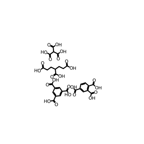 O=C(O)C(C(=O)O)C(=O)O.O=C(O)CCC(CCC(=O)O)C(=O)O.O=C(O)c1cc(C(=O)O)cc(C(=O)O)c1.O=C(O)c1ccc(C(=O)O)c(C(=O)O)c1